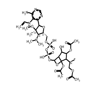 C=CNc1c(N)ncnc1C1O[C@H](COP(=O)(S)OP(=O)(O)OC2OC3(OC(C)=O)C2C(O)C(OC(C)=O)C3[C@@H](F)COC(C)=O)[C@@H](N(C)C)[C@@]1(C)OC